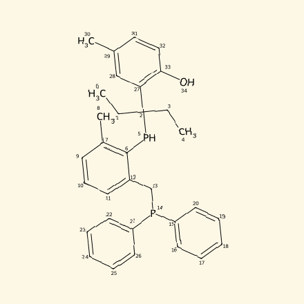 CCC(CC)(Pc1c(C)cccc1CP(c1ccccc1)c1ccccc1)c1cc(C)ccc1O